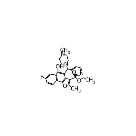 CCOC(=O)c1c(C)oc2c1c(C(c1ccncc1)N1CCN(C)CC1)c(O)c1cc(F)ccc12